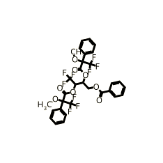 COC(C(=O)OC(COC(=O)c1ccccc1)C(OC(=O)C(OC)(c1ccccc1)C(F)(F)F)C(F)(F)F)(c1ccccc1)C(F)(F)F